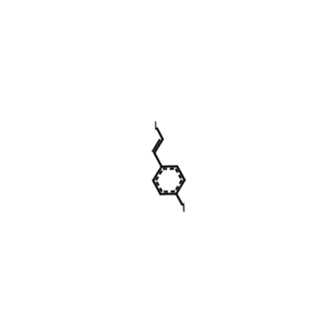 I/C=C/c1ccc(I)cc1